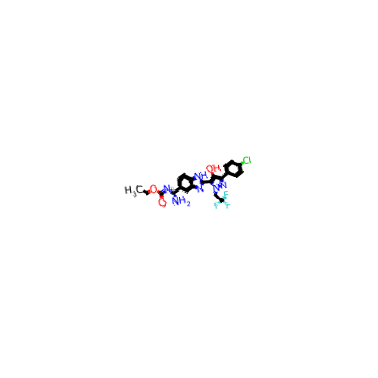 CCOC(=O)/N=C(\N)c1ccc2[nH]c(-c3c(O)c(-c4ccc(Cl)cc4)nn3CC(F)(F)F)nc2c1